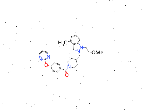 COCCN1c2cccc(C)c2CN1CC1CCN(C(=O)c2ccc(Oc3ncccn3)cc2)CC1